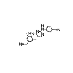 Cc1cc(CC#N)cc(C)c1Nc1ccnc(Nc2ccc(C#N)cc2)n1